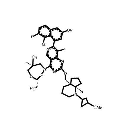 CCc1c(F)ccc2cc(O)cc(-c3ncc4c(N5C[C@H](CO)OC[C@@](C)(O)C5)nc(OC[C@]56CCC[C@H]5N(C5CC(OC)C5)CCC6)nc4c3F)c12